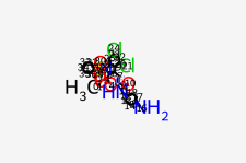 CCOC(=O)c1c(/C=C/C(=O)Nc2ccc(N)cc2)c2c(Cl)cc(Cl)cc2n1S(=O)(=O)c1ccccc1